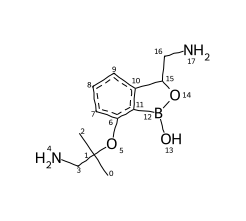 CC(C)(CN)Oc1cccc2c1B(O)OC2CN